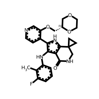 Cc1c(F)cccc1Nc1c(-c2ccncc2OC[C@@H]2COCCO2)[nH]c2c1C(=O)NCC21CC1